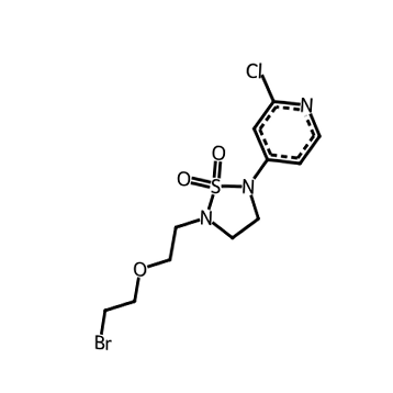 O=S1(=O)N(CCOCCBr)CCN1c1ccnc(Cl)c1